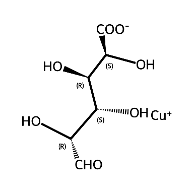 O=C[C@H](O)[C@@H](O)[C@@H](O)[C@H](O)C(=O)[O-].[Cu+]